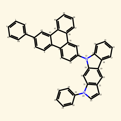 c1ccc(-c2ccc3c4ccc(-n5c6ccccc6c6cc7ccn(-c8ccccc8)c7cc65)cc4c4ccccc4c3c2)cc1